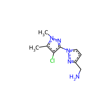 Cc1c(Cl)c(-n2ccc(CN)n2)nn1C